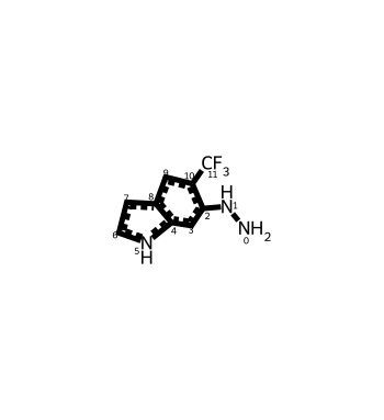 NNc1cc2[nH]ccc2cc1C(F)(F)F